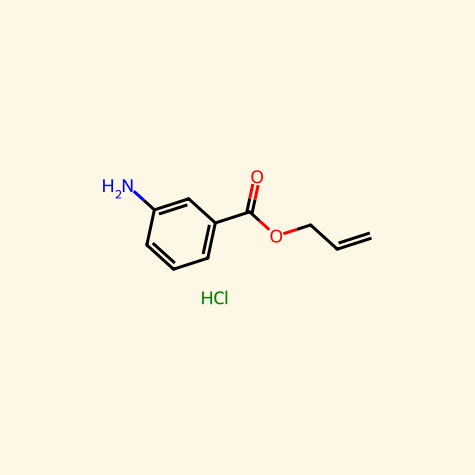 C=CCOC(=O)c1cccc(N)c1.Cl